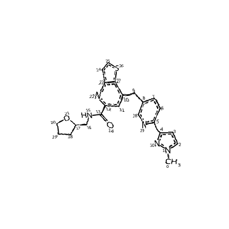 Cn1ccc(-c2ccc(Cc3cc(C(=O)NC[C@H]4CCCO4)nc4ccsc34)cn2)n1